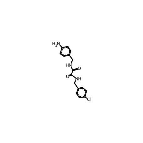 Nc1ccc(CNC(=O)C(=O)NCc2ccc(Cl)cc2)cc1